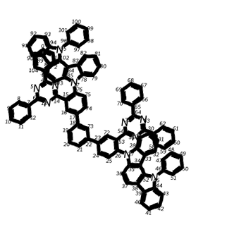 c1ccc(-c2nc(-c3ccccc3)nc(-c3cc(-c4cccc(-c5ccc(-n6c7ccccc7c7c6ccc6c8ccccc8n(-c8ccccc8)c67)c(-c6nc(-c7ccccc7)nc(-c7ccccc7)n6)c5)c4)ccc3-n3c4ccccc4c4c3ccc3c5ccccc5n(-c5ccccc5)c34)n2)cc1